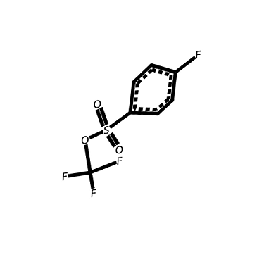 O=S(=O)(OC(F)(F)F)c1ccc(F)cc1